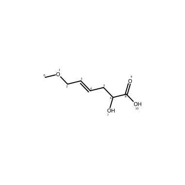 COCC=CCC(O)C(=O)O